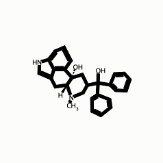 CN1CC(C(O)(c2ccccc2)c2ccccc2)C[C@]2(O)c3cccc4[nH]cc(c34)C[C@@H]12